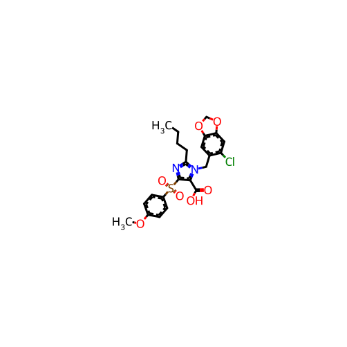 CCCCc1nc(S(=O)(=O)c2ccc(OC)cc2)c(C(=O)O)n1Cc1cc2c(cc1Cl)OCO2